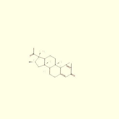 CC(=O)[C@@]1(O)[C@H](C)C[C@H]2[C@@H]3CCC4=CC(=O)C5=C(O5)[C@]4(C)[C@H]3CC[C@@]21C